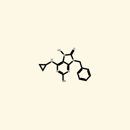 CCCc1nc(NC2CC2)c2c(n1)n(Cc1ccccc1)c(=O)n2S